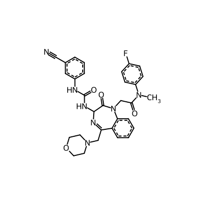 CN(C(=O)CN1C(=O)C(NC(=O)Nc2cccc(C#N)c2)N=C(CN2CCOCC2)c2ccccc21)c1ccc(F)cc1